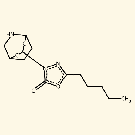 CCCCCc1nn(C2CC3CCC(C2)NC3)c(=O)o1